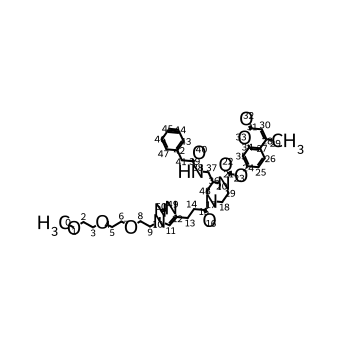 COCCOCCOCCn1cc(CCC(=O)N2CCN(C(=O)Oc3ccc4c(C)cc(=O)oc4c3)C(CNC(=O)Cc3cc#ccc3)C2)nn1